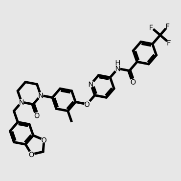 Cc1cc(N2CCCN(Cc3ccc4c(c3)OCO4)C2=O)ccc1Oc1ccc(NC(=O)c2ccc(C(F)(F)F)cc2)cn1